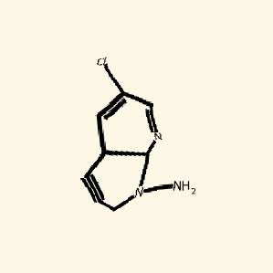 NN1CC#CC2C=C(Cl)C=NC21